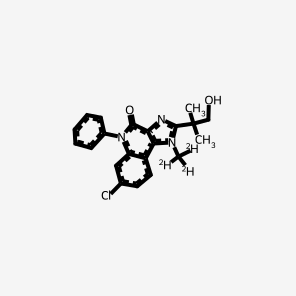 [2H]C([2H])([2H])n1c(C(C)(C)CO)nc2c(=O)n(-c3ccccc3)c3cc(Cl)ccc3c21